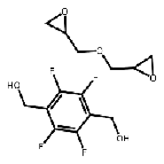 C(OCC1CO1)C1CO1.OCc1c(F)c(F)c(CO)c(F)c1F